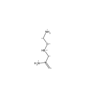 C=C(N)CBOCN